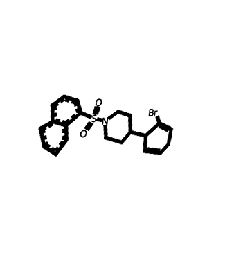 O=S(=O)(c1cccc2ccccc12)N1CCC(C2C=CCC=C2Br)CC1